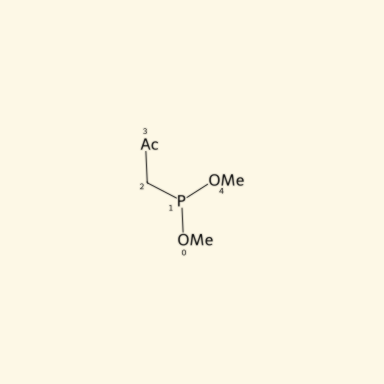 COP(CC(C)=O)OC